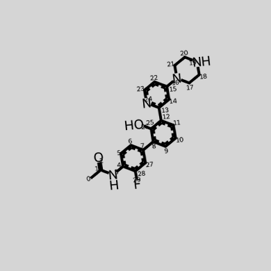 CC(=O)Nc1ccc(-c2cccc(-c3cc(N4CCNCC4)ccn3)c2O)cc1F